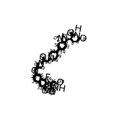 Cn1nc(C2CCC(=O)NC2=O)c2ccc(C3CCN(CC(=O)N4CC(Oc5ccc6cc(O)c(N7CC(=O)NS7(=O)=O)c(F)c6c5)C4)CC3)cc21